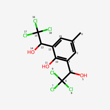 Cc1cc(C(O)C(Cl)(Cl)Cl)c(O)c(C(O)C(Cl)(Cl)Cl)c1